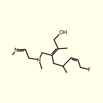 C/N=C\CN(C)C/C(CC(C)/C=C\CF)=C(/C)CO